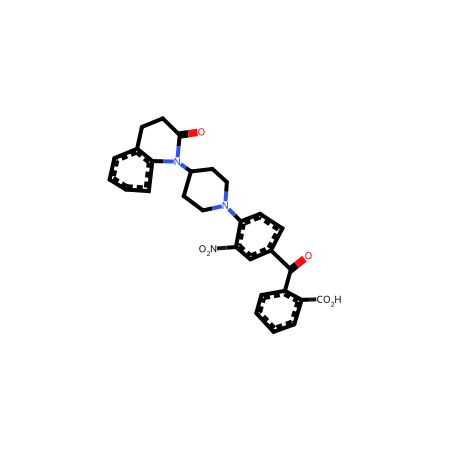 O=C(O)c1ccccc1C(=O)c1ccc(N2CCC(N3C(=O)CCc4ccccc43)CC2)c([N+](=O)[O-])c1